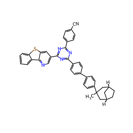 CC1(c2ccc(-c3ccc(-c4nc(-c5ccc(C#N)cc5)nc(-c5cnc6c(c5)sc5ccccc56)n4)cc3)cc2)C[C@@H]2CC[C@@H](C2)C1